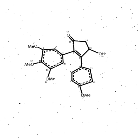 COc1ccc(C2=C(c3cc(OC)c(OC)c(OC)c3)C(=O)CC2O)cc1